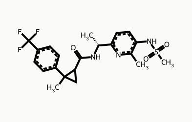 Cc1nc([C@@H](C)NC(=O)C2CC2(C)c2ccc(C(F)(F)F)cc2)ccc1NS(C)(=O)=O